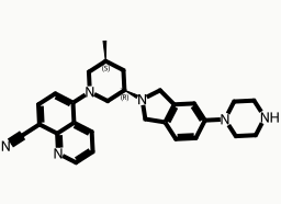 C[C@H]1C[C@@H](N2Cc3ccc(N4CCNCC4)cc3C2)CN(c2ccc(C#N)c3ncccc23)C1